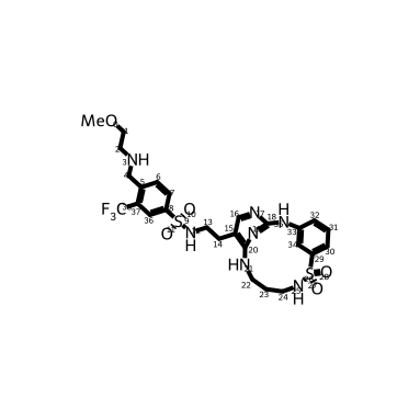 COCCNCc1ccc(S(=O)(=O)NCCc2cnc3nc2NCCCNS(=O)(=O)c2cccc(c2)N3)cc1C(F)(F)F